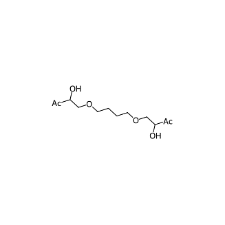 CC(=O)C(O)COCCCCOCC(O)C(C)=O